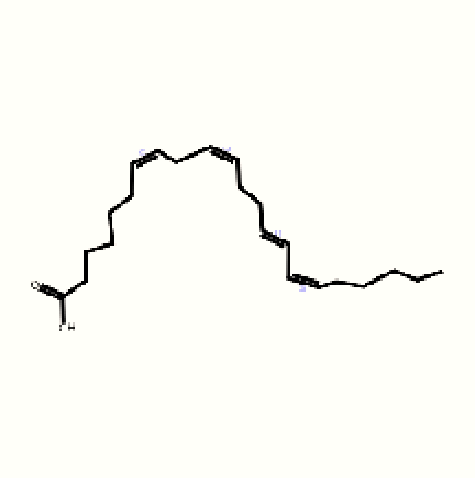 CCCCC/C=C\C=C\CC/C=C\C/C=C\CCCCCC(=O)O